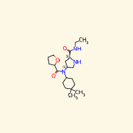 CCNC(=O)[C@@H]1C[C@H](N(C(=O)C2CCCO2)C2CCC(C)(C)CC2)CN1